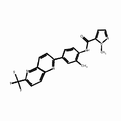 Cc1cc(-c2ccc3nc(C(F)(F)F)ccc3n2)ccc1NC(=O)c1ccnn1C